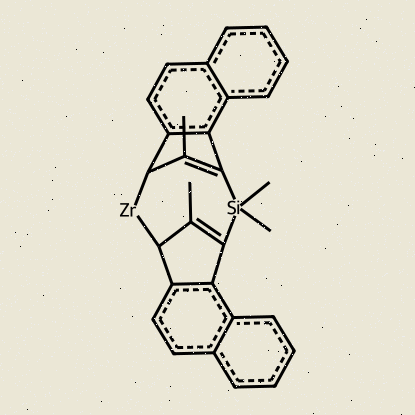 CC1=C2c3c(ccc4ccccc34)[CH]1[Zr][CH]1C(C)=C(c3c1ccc1ccccc31)[Si]2(C)C